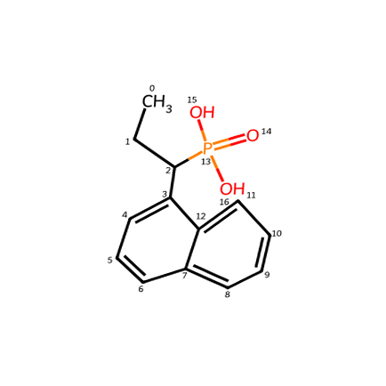 CCC(c1cccc2ccccc12)P(=O)(O)O